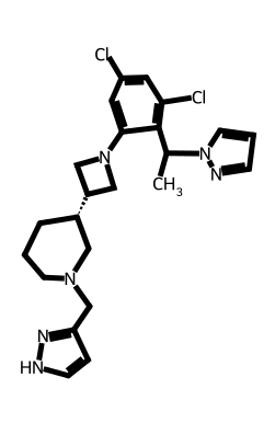 CC(c1c(Cl)cc(Cl)cc1N1CC([C@H]2CCCN(Cc3cc[nH]n3)C2)C1)n1cccn1